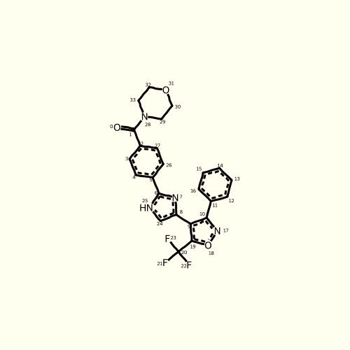 O=C(c1ccc(-c2nc(-c3c(-c4ccccc4)noc3C(F)(F)F)c[nH]2)cc1)N1CCOCC1